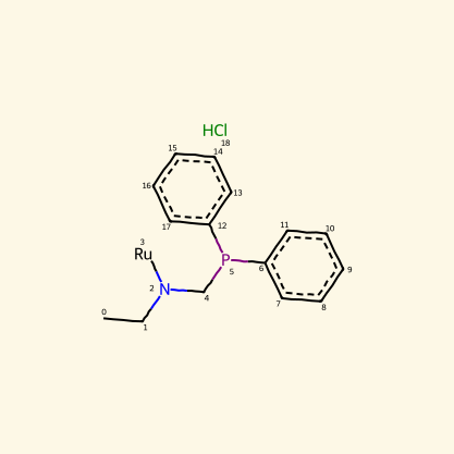 CC[N]([Ru])CP(c1ccccc1)c1ccccc1.Cl